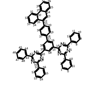 c1ccc(-c2nc(-c3ccccc3)nc(-c3cc(-c4ccc(-c5cc6ccccc6c6ccccc56)cc4)cc(-c4nc(-c5ccccc5)nc(-c5ccccc5)n4)c3)n2)cc1